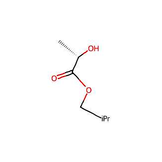 CC(C)COC(=O)[C@H](C)O